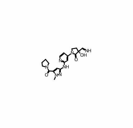 Cn1nc(Nc2cc(N3CC[C@](O)(C=N)C3=O)ccn2)cc1C(=O)N1CCCC1